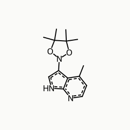 Cc1ccnc2[nH]cc(N3OC(C)(C)C(C)(C)O3)c12